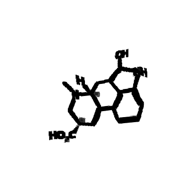 CN1C[C@@H](C(=O)O)C=C2c3cccc4[nH]c(O)c(c34)C[C@H]21